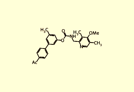 COc1c(C)cnc(CNC(=O)Oc2cc(C)cc(-c3ccc(C(C)=O)cc3)c2)c1C